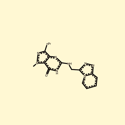 CCCc1nn(C)c2c(=O)[nH]c(NCc3nnc4ccccn34)nc12